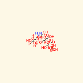 NC(CO)C(=O)O.O=CC(O)C(O)C(O)C(O)C(=O)O.O=CC(O)C(O)C(O)C(O)CO.O=CC(O)C(O)C(O)CO.O=S(=O)(O)O